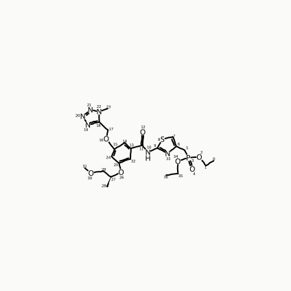 CCOP(=O)(Cc1csc(NC(=O)c2cc(OCc3nnnn3C)cc(O[C@@H](C)COC)c2)n1)OCC